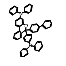 c1ccc(-c2ccc(C3(c4ccc(N(c5ccccc5)c5ccccc5)cc4)Oc4cc(N(c5ccccc5)c5ccccc5)ccc4-c4ccccc43)cc2)cc1